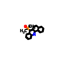 CP(C)(=O)c1c2ccccc2nc2c1ccc1ccccc12